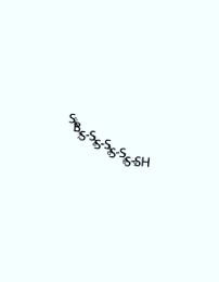 S=BSSSSSSSS